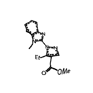 CCc1c(C(=O)OC)cnn1-c1nc2ccccc2n1C